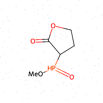 CO[PH](=O)C1CCOC1=O